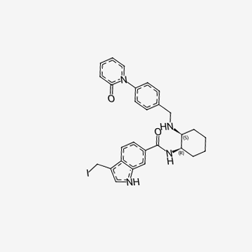 O=C(N[C@@H]1CCCC[C@@H]1NCc1ccc(-n2ccccc2=O)cc1)c1ccc2c(CI)c[nH]c2c1